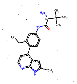 CCc1cc(NC(=O)[C@H](N)C(C)(C)C)ccc1-c1ccnc2[nH]c(C)cc12